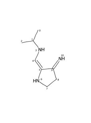 CC(C)N/C=C1/NCCC1=N